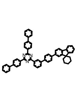 c1ccc(-c2ccc(-c3nc(-c4ccc(-c5ccccc5)cc4)nc(-c4cccc(-c5ccc(-c6ccc7c(c6)C6(CCCCC6)c6ccccc6-7)cc5)c4)n3)cc2)cc1